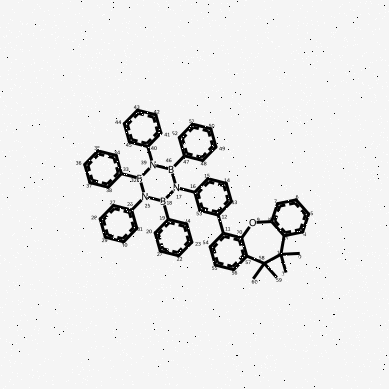 CC1(C)c2ccccc2Oc2c(-c3cccc(N4B(c5ccccc5)N(c5ccccc5)B(c5ccccc5)N(c5ccccc5)B4c4ccccc4)c3)cccc2C1(C)C